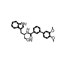 COc1ccc(-c2cccc(C(=O)N[C@@H](CO)Cc3c[nH]c4ccccc34)c2)cc1OC